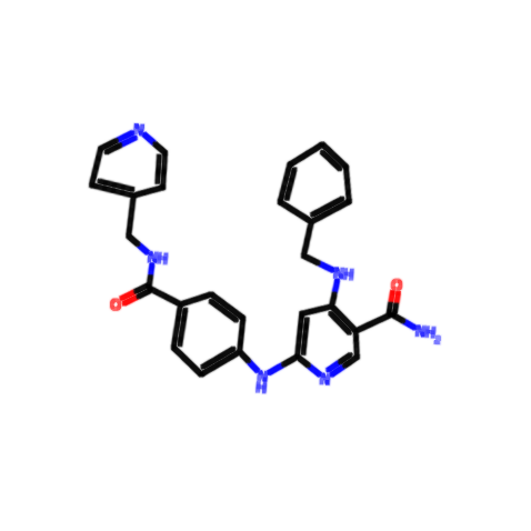 NC(=O)c1cnc(Nc2ccc(C(=O)NCc3ccncc3)cc2)cc1NCc1ccccc1